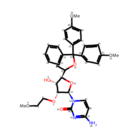 COCCO[C@@H]1[C@H](O)[C@@H](C(C)OC(c2ccccc2)(c2ccc(OC)cc2)c2ccc(OC)cc2)O[C@H]1n1ccc(N)nc1=O